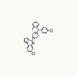 Clc1ccc(C(c2ccccc2I)N2CCN(c3nc4cc(Cl)ccc4n4cccc34)CC2)cc1